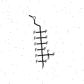 COCCC(F)(F)C(F)(F)C(F)(F)C(F)(F)C(F)(C(F)(F)F)C(F)(F)F